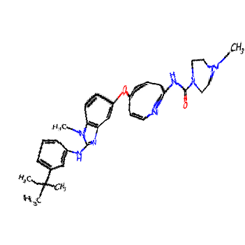 CN1CCN(C(=O)Nc2cc(Oc3ccc4c(c3)nc(Nc3cccc(C(C)(C)C)c3)n4C)ccn2)CC1